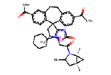 CNC(=O)c1ccc2c(c1)CCc1cc(C(=O)NC)ccc1C2(C[C@H](C)NCC(=O)N1C(C#N)C[C@@H]2C[C@@H]21)c1nc(=O)on1C1CCCCC1